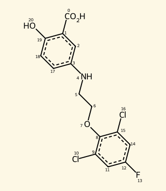 O=C(O)c1cc(NCCOc2c(Cl)cc(F)cc2Cl)ccc1O